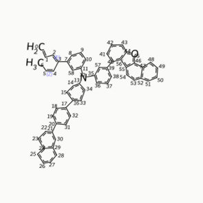 C=C/C=C(\C=C/C)c1cccc(N(c2ccc(-c3ccc(-c4ccc5ccccc5c4)cc3)cc2)c2cccc(-c3cccc4oc5c6ccccc6ccc5c34)c2)c1